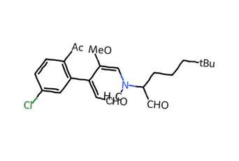 COC(=C/N(C)C(C=O)CCCC(C)(C)C)/C(=C\C=O)c1cc(Cl)ccc1C(C)=O